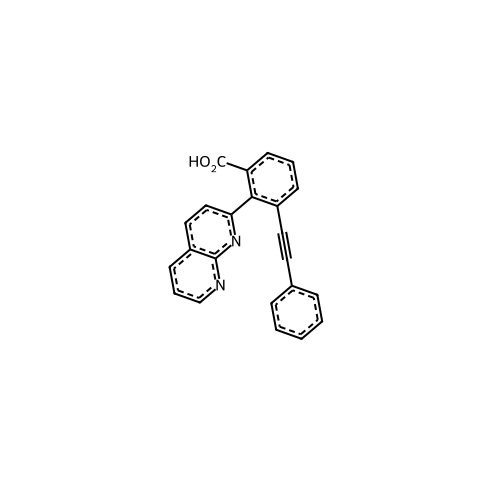 O=C(O)c1cccc(C#Cc2ccccc2)c1-c1ccc2cccnc2n1